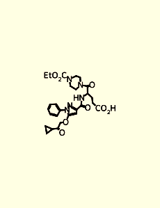 CCOC(=O)N1CCN(C(=O)C(CCC(=O)O)NC(=O)c2cc(OCC(=O)C3CC3)n(-c3ccccc3)n2)CC1